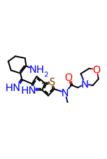 CN(C(=O)CN1CCOCC1)c1cc2[nH]c(C(=N)C3=C(N)CCCC3)cc2s1